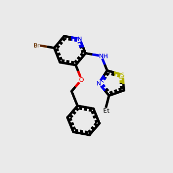 CCc1csc(Nc2ncc(Br)cc2OCc2ccccc2)n1